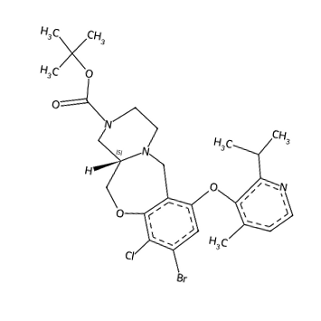 Cc1ccnc(C(C)C)c1Oc1cc(Br)c(Cl)c2c1CN1CCN(C(=O)OC(C)(C)C)C[C@H]1CO2